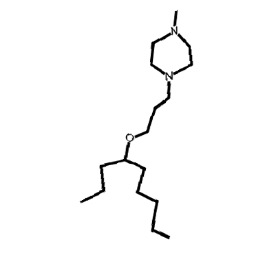 CCCCCC(CCC)OCCCN1CCN(C)CC1